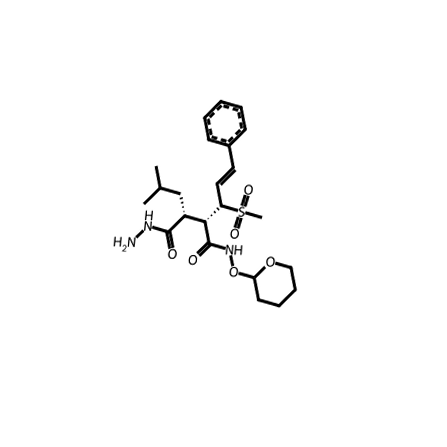 CC(C)C[C@@H](C(=O)NN)[C@@H](C(=O)NOC1CCCCO1)C(/C=C/c1ccccc1)S(C)(=O)=O